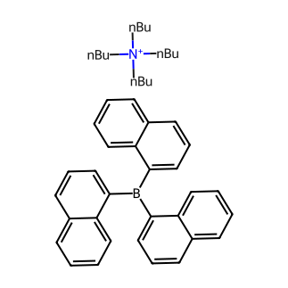 CCCC[N+](CCCC)(CCCC)CCCC.c1ccc2c(B(c3cccc4ccccc34)c3cccc4ccccc34)cccc2c1